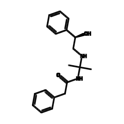 CC(C)(NC[C@H](O)c1ccccc1)NC(=O)Cc1ccccc1